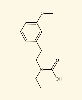 CCN(CCc1cccc(OC)c1)C(=O)O